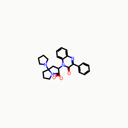 O=CC(CC1(N2CCCC2)CCCN1C=O)n1c(=O)c(-c2ccccc2)nc2ccccc21